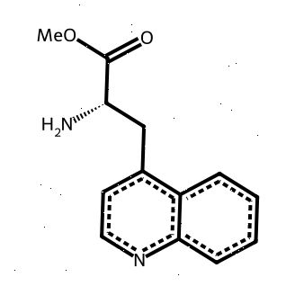 COC(=O)[C@@H](N)Cc1ccnc2ccccc12